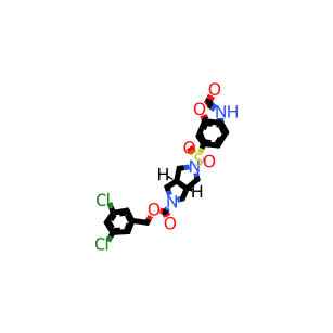 O=C(OCc1cc(Cl)cc(Cl)c1)N1C[C@H]2CN(S(=O)(=O)c3ccc4[nH]c(=O)oc4c3)C[C@@H]2C1